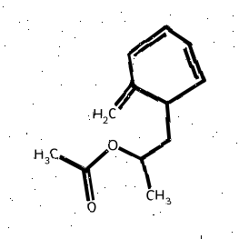 C=C1C=CC=CC1CC(C)OC(C)=O